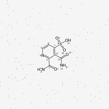 NC(=O)c1nccc(S(=O)(=O)O)c1C(N)=O